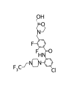 O=C(Nc1ccc(Cl)cc1N1CCN(CCC(F)(F)F)CC1)c1ccc(CN2CCO[C@@H](CO)C2)c(F)c1F